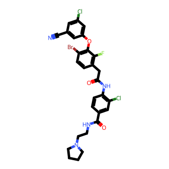 N#Cc1cc(Cl)cc(Oc2c(Br)ccc(CC(=O)Nc3ccc(C(=O)NCCN4CCCC4)cc3Cl)c2F)c1